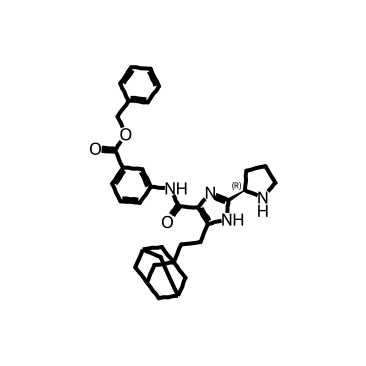 O=C(OCc1ccccc1)c1cccc(NC(=O)c2nc([C@H]3CCCN3)[nH]c2CCC23CC4CC(CC(C4)C2)C3)c1